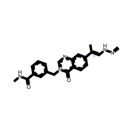 C=NN/C=C(\C)c1ccc2c(=O)n(Cc3cccc(C(=O)NC)c3)cnc2c1